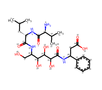 CC(C)C[C@H](NC(=O)[C@@H](N)C(C)C)C(=O)NC(CO)C(O)C(O)C(O)C(=O)NC(CC(=O)O)c1ccccc1